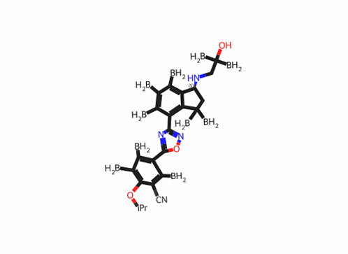 Bc1c(B)c(-c2noc(-c3c(B)c(B)c(OC(C)C)c(C#N)c3B)n2)c2c(c1B)[C@@H](NCC(B)(B)O)CC2(B)B